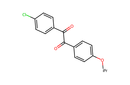 CC(C)Oc1ccc(C(=O)C(=O)c2ccc(Cl)cc2)cc1